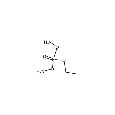 CCOP(=O)(ON)ON